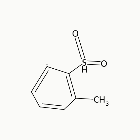 Cc1ccc[c]c1[SH](=O)=O